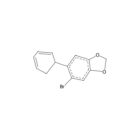 Brc1cc2c(cc1C1C=CC=CC1)OCO2